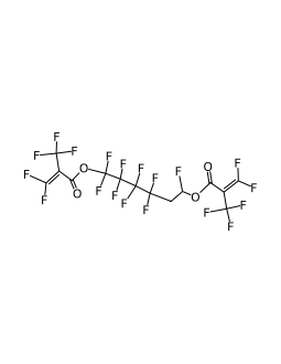 O=C(OC(F)CC(F)(F)C(F)(F)C(F)(F)C(F)(F)OC(=O)C(=C(F)F)C(F)(F)F)C(=C(F)F)C(F)(F)F